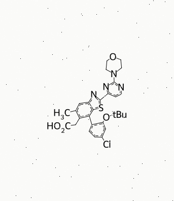 Cc1cc2nc(-c3ccnc(N4CCOCC4)n3)sc2c(-c2ccc(Cl)cc2OC(C)(C)C)c1CC(=O)O